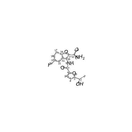 CC(O)c1ccc(C(=O)Nc2c(C(N)=O)oc3ccc(F)cc23)o1